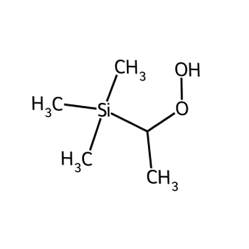 CC(OO)[Si](C)(C)C